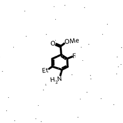 CCc1cc(C(=O)OC)c(F)cc1N